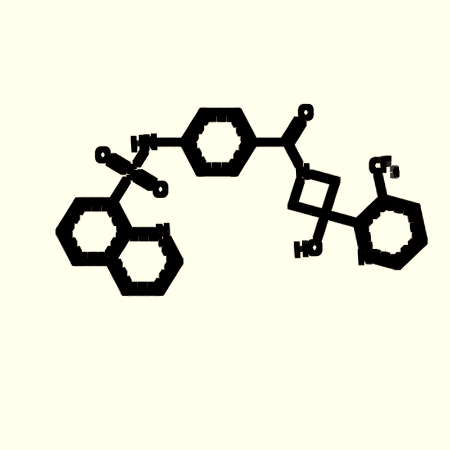 O=C(c1ccc(NS(=O)(=O)c2cccc3cccnc23)cc1)N1CC(O)(c2ncccc2C(F)(F)F)C1